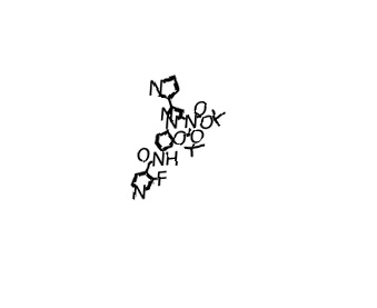 CC(C)(C)OC(=O)N(C(=O)OC(C)(C)C)c1cc(-c2cccnc2)nn1-c1ccc(NC(=O)c2ccncc2F)cc1